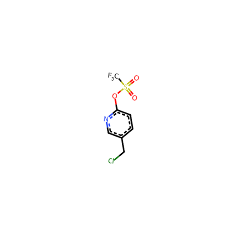 O=S(=O)(Oc1ccc(CCl)cn1)C(F)(F)F